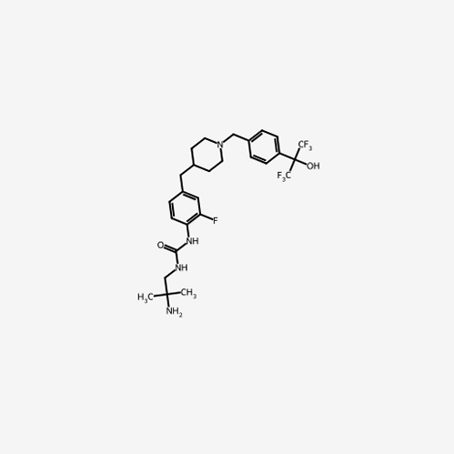 CC(C)(N)CNC(=O)Nc1ccc(CC2CCN(Cc3ccc(C(O)(C(F)(F)F)C(F)(F)F)cc3)CC2)cc1F